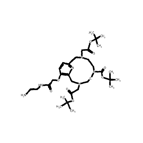 CC(C)(C)OC(=O)CN1CCN(C(=O)OC(C)(C)C)CCN(CC(=O)OC(C)(C)C)Cc2nc(ccc2OCC(=O)NCCN)C1